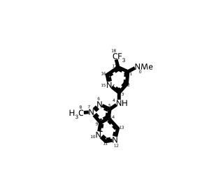 CNc1cc(Nc2nn(C)c3ncncc23)ncc1C(F)(F)F